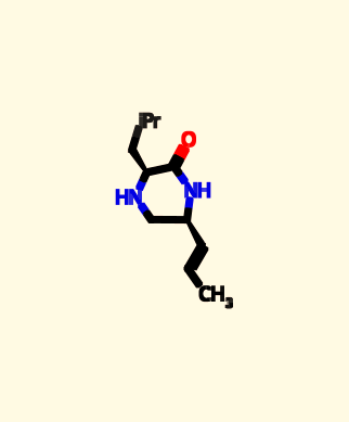 CC=C[C@H]1CN[C@@H](CC(C)C)C(=O)N1